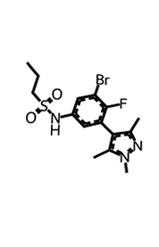 CCCS(=O)(=O)Nc1cc(Br)c(F)c(-c2c(C)nn(C)c2C)c1